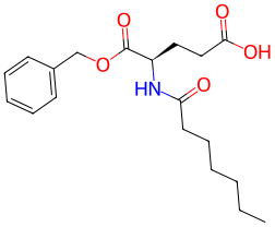 CCCCCCC(=O)N[C@H](CCC(=O)O)C(=O)OCc1ccccc1